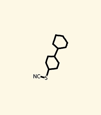 N#CSC1CCC(C2CCCCC2)CC1